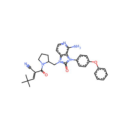 CC(C)(C)C=C(C#N)C(=O)N1CCCC1Cn1c(=O)n(-c2ccc(Oc3ccccc3)cc2)c2c(N)nccc21